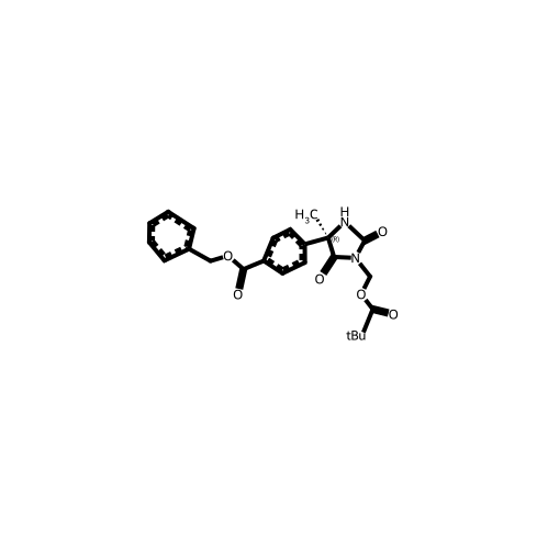 CC(C)(C)C(=O)OCN1C(=O)N[C@](C)(c2ccc(C(=O)OCc3ccccc3)cc2)C1=O